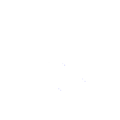 COc1ccccc1-c1cc(CF)nc(N2CCOCC2)n1